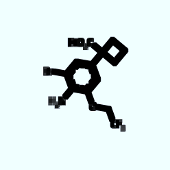 CCOC(=O)C1(c2cc(Br)c(N)c(OCC(F)(F)F)c2)CCC1